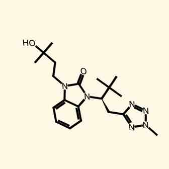 Cn1nnc(C[C@@H](n2c(=O)n(CCC(C)(C)O)c3ccccc32)C(C)(C)C)n1